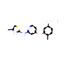 CCOC(=O)c1ccc(C)c(Oc2ccnc(Nc3nc(C)cs3)c2)c1